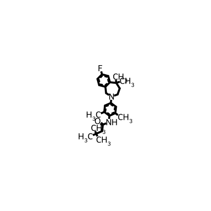 Cc1cc(N2CCC(C)(C)c3cc(F)ccc3C2)cc(C)c1NC(=O)CC(C)(C)C